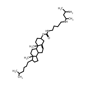 CC(C)CCCCC1CCC2C3CC=C4CC(OC(=O)NCCCCNC(C)CC(C)N)CCC4(C)C3CCC12C